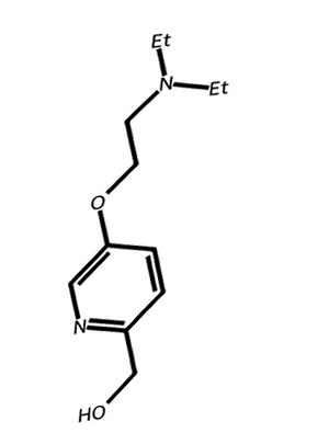 CCN(CC)CCOc1ccc(CO)nc1